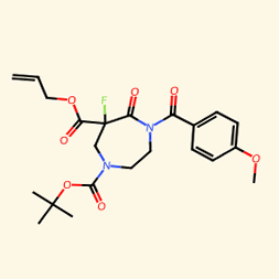 C=CCOC(=O)C1(F)CN(C(=O)OC(C)(C)C)CCN(C(=O)c2ccc(OC)cc2)C1=O